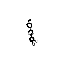 C=C[C@H]1CC[C@H](c2cnc(-c3ccc(Cl)c(Cl)c3)nc2)CC1